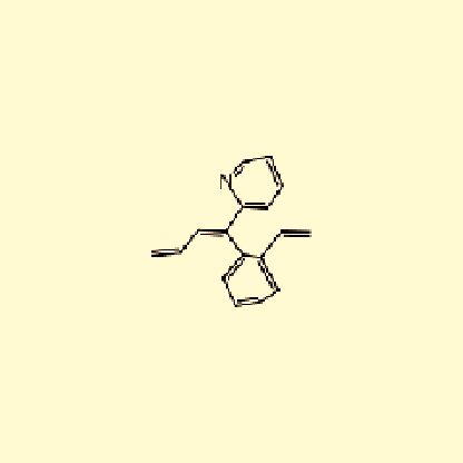 C=C/C=C(/c1ccccn1)c1ccccc1C=C